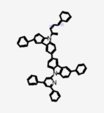 C=C(/C=C\C=C1\C=CC=CC1)n1c2ccc(-c3ccccc3)cc2c2cc(-c3ccc4c(c3)c3cc(-c5ccccc5)ccc3n4-c3cc(-c4ccccc4)cc(-c4ccccc4)n3)ccc21